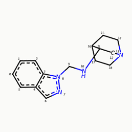 c1ccc2c(c1)cnn2CNC1CN2CCC1CC2